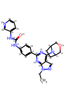 CCn1ncc2c(N3C4CCC3COC4)nc(-c3ccc(NC(=O)Nc4cccnc4)cc3)nc21